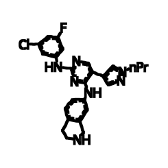 CCCn1cc(-c2cnc(Nc3cc(F)cc(Cl)c3)nc2Nc2ccc3c(c2)CNCC3)cn1